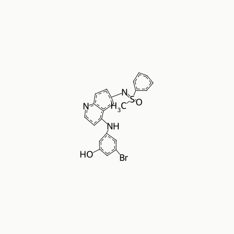 CS(=O)(=Nc1ccc2nccc(Nc3cc(O)cc(Br)c3)c2c1)c1ccccc1